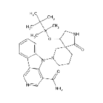 CC(C)(C)[Si](C)(C)OC1CNC(=O)C12CCCN(n1c3ccccc3c3cncc(C(N)=O)c31)C2